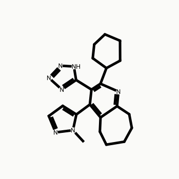 Cn1nccc1-c1c2c(nc(C3CCCCC3)c1-c1nnn[nH]1)CCCCC2